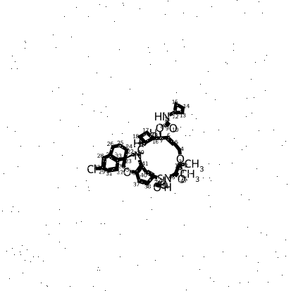 CC1(C)OCC=C[C@H](OC(=O)NC2CCC2)[C@@H]2CC[C@H]2CN2C[C@@]3(CCCc4cc(Cl)ccc43)COc3ccc(cc32)S(=O)(=O)NC1=O